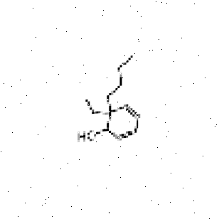 CCCCC1(CC)C=CC=CC1O